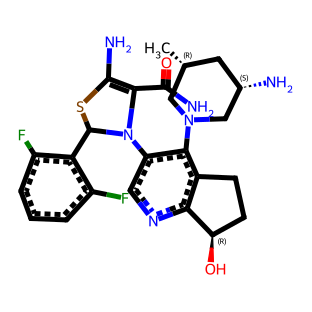 C[C@@H]1C[C@H](N)CN(c2c(N3C(C(N)=O)=C(N)SC3c3c(F)cccc3F)cnc3c2CC[C@H]3O)C1